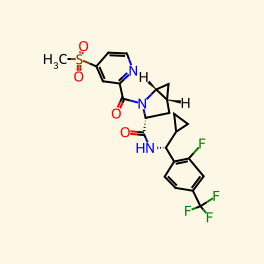 CS(=O)(=O)c1ccnc(C(=O)N2[C@@H](C(=O)N[C@@H](c3ccc(C(F)(F)F)cc3F)C3CC3)C[C@H]3C[C@H]32)c1